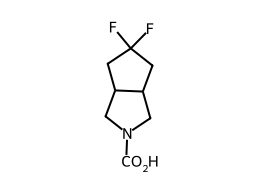 O=C(O)N1CC2CC(F)(F)CC2C1